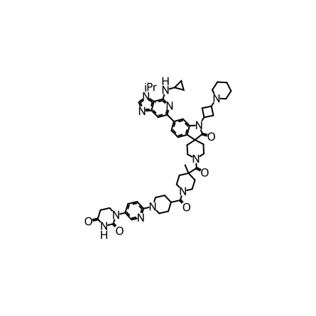 CC(C)n1cnc2cc(-c3ccc4c(c3)N(C3CC(N5CCCCC5)C3)C(=O)C43CCN(C(=O)C4(C)CCN(C(=O)C5CCN(c6ccc(N7CCC(=O)NC7=O)cn6)CC5)CC4)CC3)nc(NC3CC3)c21